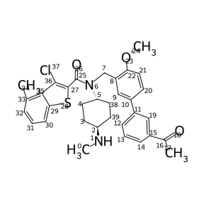 CN[C@H]1CC[C@H](N(Cc2cc(-c3cccc(C(C)=O)c3)ccc2OC)C(=O)c2sc3cccc(C)c3c2Cl)CC1